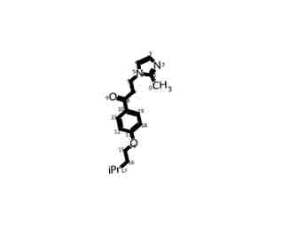 Cc1nccn1CCC(=O)c1ccc(OCCC(C)C)cc1